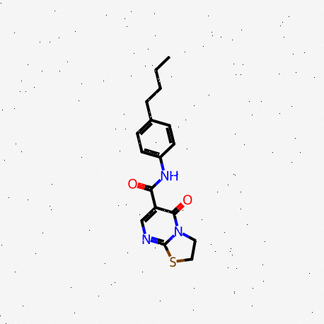 CCCCc1ccc(NC(=O)c2cnc3n(c2=O)CCS3)cc1